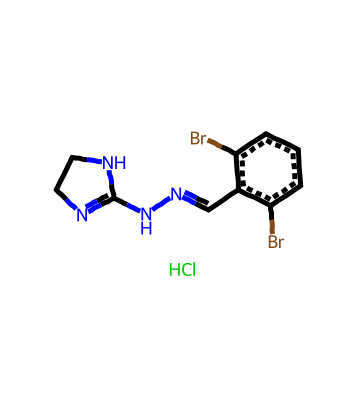 Brc1cccc(Br)c1C=NNC1=NCCN1.Cl